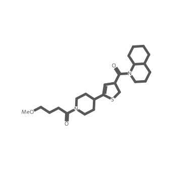 COCCCC(=O)N1CCC(C2=CC(C(=O)N3CCCC4CCCCC43)CS2)CC1